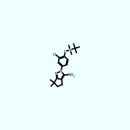 CC1(C)CCc2c1nn(-c1ccc(O[Si](C)(C)C(C)(C)C)c(Cl)c1)c2N